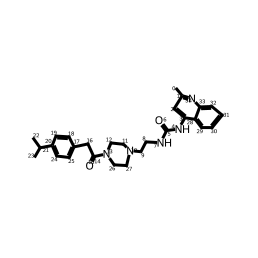 Cc1cc(NC(=O)NCCN2CCN(C(=O)Cc3ccc(C(C)C)cc3)CC2)c2ccccc2n1